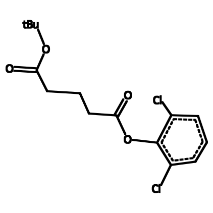 CC(C)(C)OC(=O)CCCC(=O)Oc1c(Cl)cccc1Cl